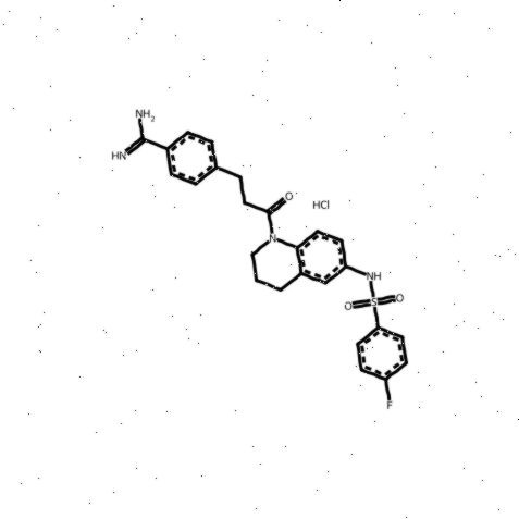 Cl.N=C(N)c1ccc(CCC(=O)N2CCCc3cc(NS(=O)(=O)c4ccc(F)cc4)ccc32)cc1